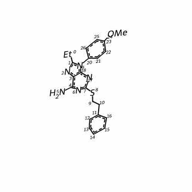 CCc1nc2c(N)nc(SCCc3ccccc3)nc2n1-c1ccc(OC)cc1